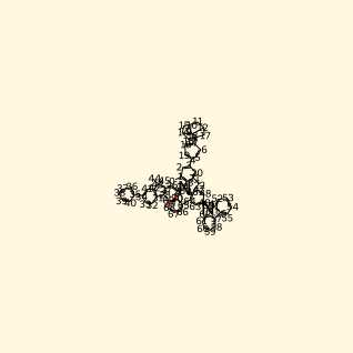 Cc1cc(-c2ccc(C34CC5CC(CC(C5)C3)C4)cc2)cc(C)c1N(C1=CC2=C(CC1)c1ccc(-c3ccccc3)cc1C2(C)C)c1ccc(-n2c3ccccc3c3ccccc32)cc1C1=C=C=CC=C1